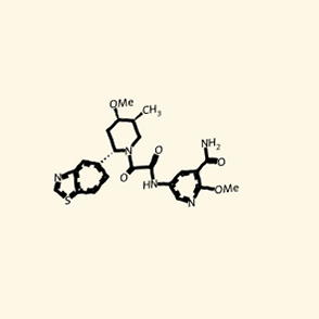 COc1ncc(NC(=O)C(=O)N2C[C@H](C)[C@H](OC)C[C@H]2c2ccc3scnc3c2)cc1C(N)=O